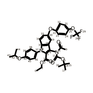 CCOC(=O)c1c(N(C(C)=O)C(=O)OC(C)(C)C)c2cc(Oc3ccc(OC(F)(F)F)cc3)ccc2n1-c1ccc(OC(C)C)cc1